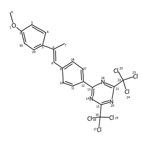 COc1ccc(/C(C)=C/c2ccc(-c3nc(C(Cl)(Cl)Cl)nc(C(Cl)(Cl)Cl)n3)cc2)cc1